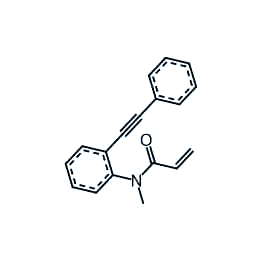 C=CC(=O)N(C)c1ccccc1C#Cc1ccccc1